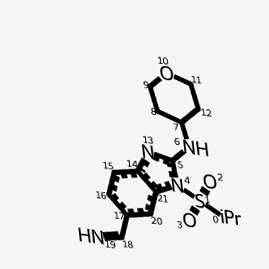 CC(C)S(=O)(=O)n1c(NC2CCOCC2)nc2ccc(C=N)cc21